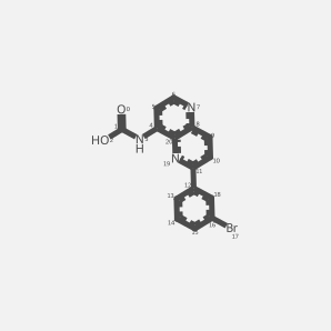 O=C(O)Nc1ccnc2ccc(-c3cccc(Br)c3)nc12